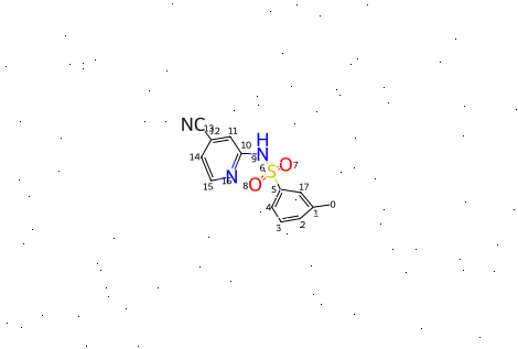 Cc1cccc(S(=O)(=O)Nc2cc(C#N)ccn2)c1